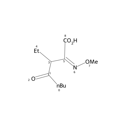 CCCCC(=O)C(CC)C(=NOC)C(=O)O